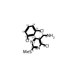 CSc1ncc(CN)c(Cl)n1.Clc1cccc(Cl)c1